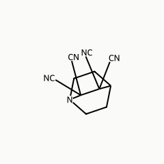 N#CC1(C#N)C2CCN(CC2)C1(C#N)C#N